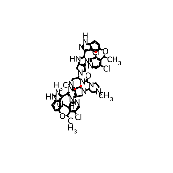 CC(Oc1ccc2[nH]nc(-c3nc4c([nH]3)CN(C3CN(C)CCN3C(=O)N3CCN(C)CC3N3Cc5nc(-c6n[nH]c7ccc(OC(C)c8c(Cl)cncc8Cl)cc67)[nH]c5C3)C4)c2c1)c1c(Cl)cncc1Cl